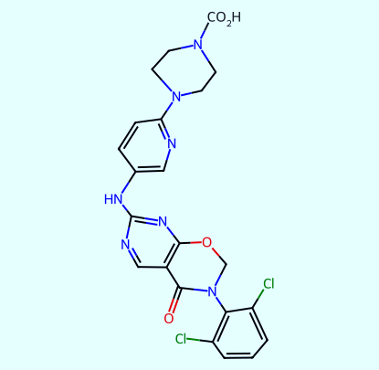 O=C(O)N1CCN(c2ccc(Nc3ncc4c(n3)OCN(c3c(Cl)cccc3Cl)C4=O)cn2)CC1